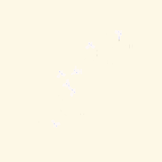 Cc1cc(-c2ncc(CNc3ncc4cc(-c5cc(C)ncc5C=O)cnn34)cc2C)ccn1